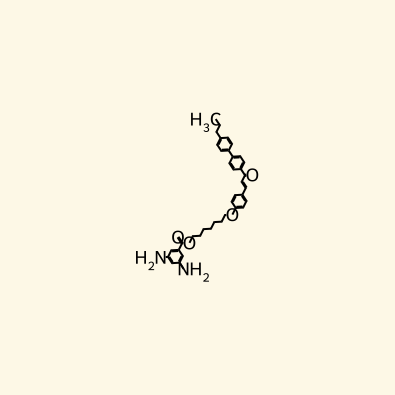 CCCc1ccc(-c2ccc(C(=O)C=Cc3ccc(OCCCCCCCOC(=O)c4cc(N)cc(N)c4)cc3)cc2)cc1